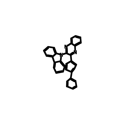 c1ccc(-c2ccc(-c3nc4ccccc4nc3-n3c4ccccc4c4ccccc43)cc2)cc1